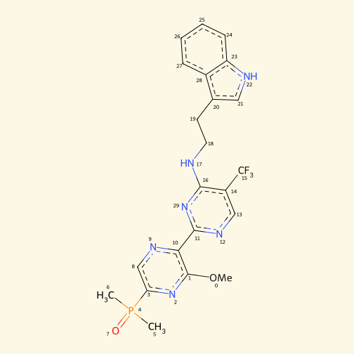 COc1nc(P(C)(C)=O)cnc1-c1ncc(C(F)(F)F)c(NCCc2c[nH]c3ccccc23)n1